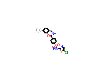 CN(Cc1ccc(C(F)(F)F)cc1)C(=O)c1ccc(S(=O)(=O)Nc2ncc(Cl)s2)cc1